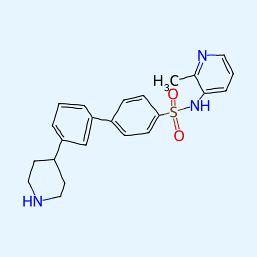 Cc1ncccc1NS(=O)(=O)c1ccc(-c2cccc(C3CCNCC3)c2)cc1